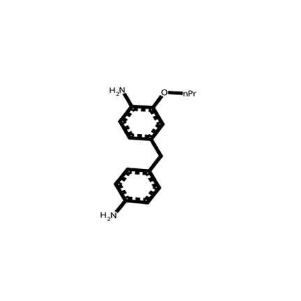 CCCOc1cc(Cc2ccc(N)cc2)ccc1N